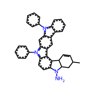 CC1C=CC2c3c(ccc4c3c3cc5c6ccccc6n(-c6ccccc6)c5cc3n4-c3ccccc3)N(N)C2C1